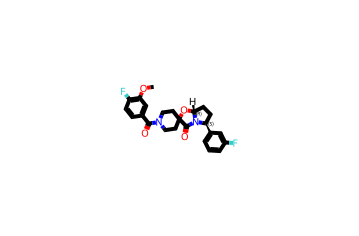 COc1cc(C(=O)N2CCC3(CC2)O[C@@H]2CC[C@@H](c4cccc(F)c4)N2C3=O)ccc1F